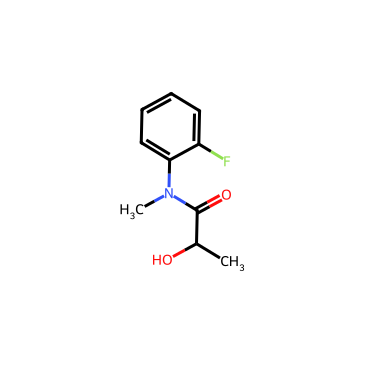 CC(O)C(=O)N(C)c1ccccc1F